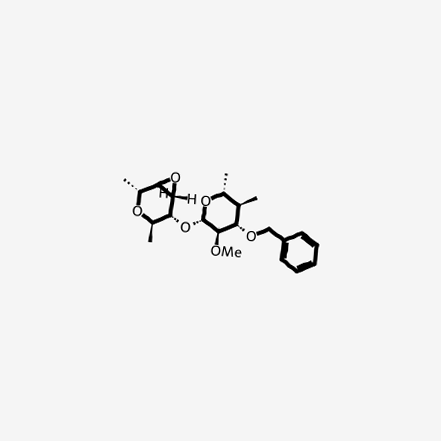 CO[C@H]1[C@H](O[C@H]2[C@H]3O[C@H]3[C@@H](C)O[C@@H]2C)O[C@H](C)[C@@H](C)[C@@H]1OCc1ccccc1